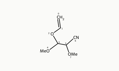 C=COC(OC)C(C#N)OC